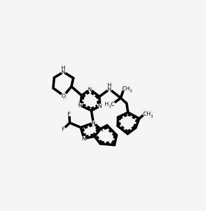 Cc1ccccc1CC(C)(C)Nc1nc(C2CNCCO2)nc(-n2c(C(F)F)nc3ccccc32)n1